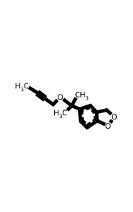 CC#CCOC(C)(C)c1ccc2c(c1)COO2